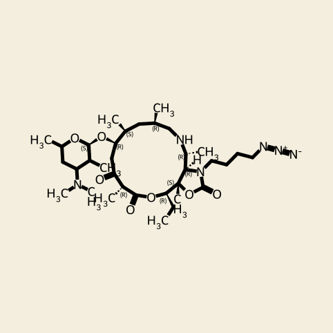 CC[C@H]1OC(=O)[C@H](C)C(=O)C[C@@H](O[C@@H]2OC(C)CC(N(C)C)C2C)[C@@H](C)C[C@@H](C)CN[C@H](C)[C@H]2N(CCCCN=[N+]=[N-])C(=O)O[C@]12C